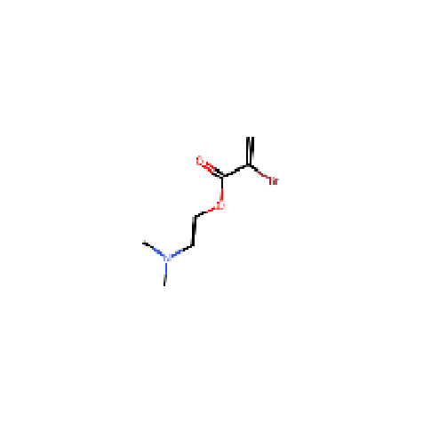 C=C(Br)C(=O)OCCN(C)C